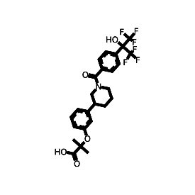 CC(C)(Oc1cccc(C2CCCN(C(=O)c3ccc(C(O)(C(F)(F)F)C(F)(F)F)cc3)C2)c1)C(=O)O